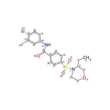 CCC1COCCN1S(=O)(=O)c1ccc(C(=O)Nc2ccc(Br)c(I)c2)cc1